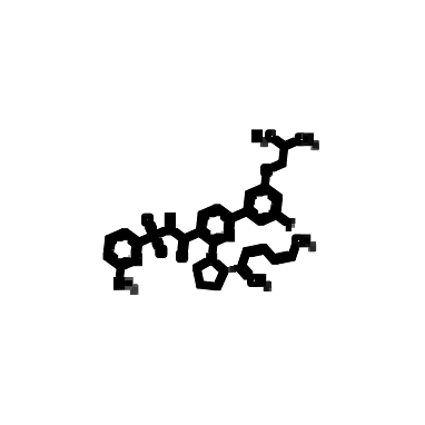 C=C(/C=C\C=C/C)[C@@H]1CCCN1c1nc(-c2cc(F)cc(OCC(C)C)c2)ccc1C(=O)NS(=O)(=O)c1cccc(N)n1